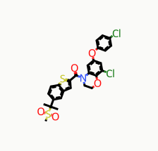 CC(C)(c1ccc2sc(C(=O)N3CCOc4c(Cl)cc(Oc5ccc(Cl)cc5)cc43)cc2c1)S(C)(=O)=O